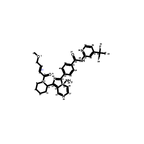 COC/C=C/C(=O)N1CCCCC1C1=C2C=NC=C[N+]2(N)C(c2ccc(C(=O)Nc3cc(C(F)(F)F)ccn3)cc2)=N1